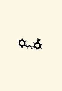 Brc1cccc(OCCC2CCCCC2)c1